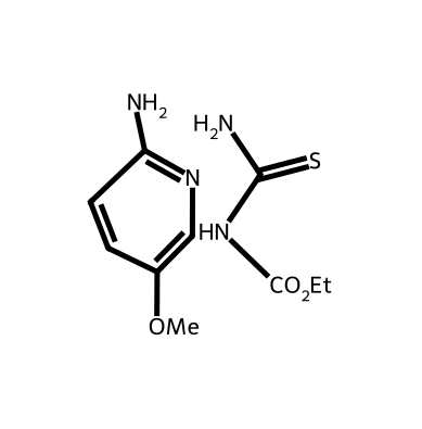 CCOC(=O)NC(N)=S.COc1ccc(N)nc1